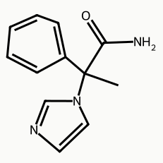 CC(C(N)=O)(c1ccccc1)n1ccnc1